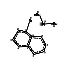 Brc1cccc2ccccc12.CCCCNCCCC